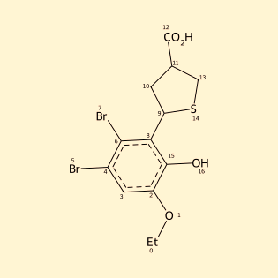 CCOc1cc(Br)c(Br)c(C2CC(C(=O)O)CS2)c1O